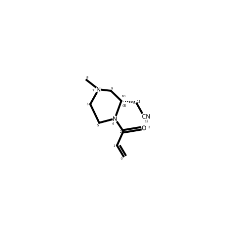 C=CC(=O)N1CCN(C)C[C@@H]1CC#N